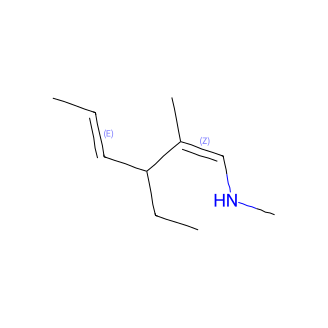 C/C=C/C(CC)/C(C)=C\NC